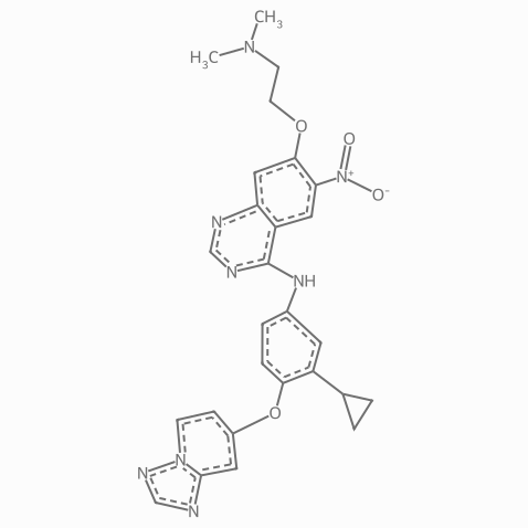 CN(C)CCOc1cc2ncnc(Nc3ccc(Oc4ccn5ncnc5c4)c(C4CC4)c3)c2cc1[N+](=O)[O-]